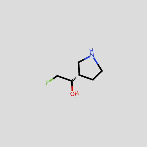 OC(CF)[C@H]1CCNC1